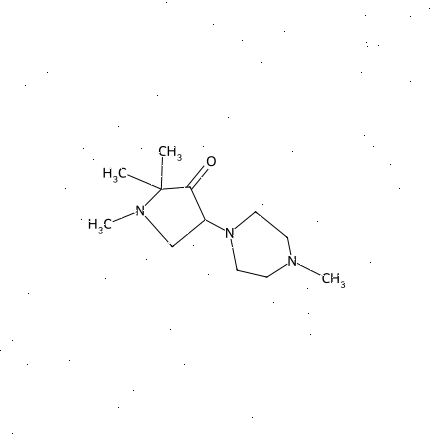 CN1CCN(C2CN(C)C(C)(C)C2=O)CC1